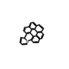 C1=CC2c3ccc4ccc5ccc6ccc7ccc(c8c3c4c5c6c78)N2C=C1